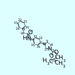 CC(C)(C)OC(=O)N1CC[C@@H](c2ccc(NC(=O)Cc3ccccc3)cc2)C1